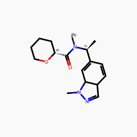 CC(C)N(C(=O)[C@H]1CCCCO1)[C@@H](C)C1=CC2C(C=C1)C=NN2C